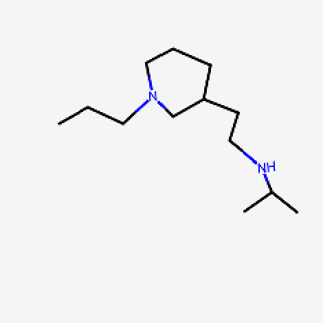 CCCN1CCCC(CCNC(C)C)C1